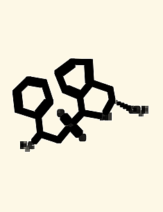 CC(CS(=O)(=O)C1N[C@@H](C(=O)O)Cc2ccccc21)c1ccccc1